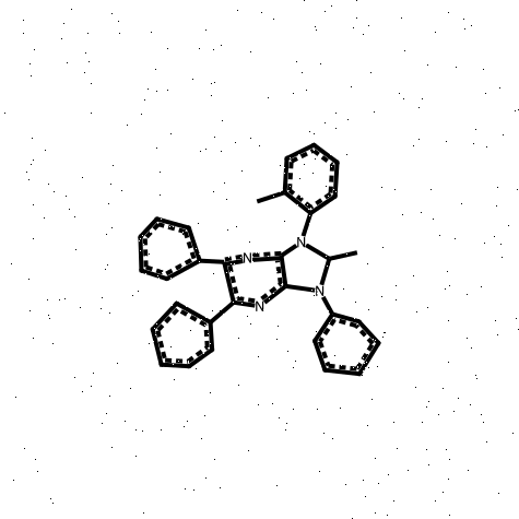 Cc1ccccc1N1c2nc(-c3ccccc3)c(-c3ccccc3)nc2N(c2ccccc2)C1C